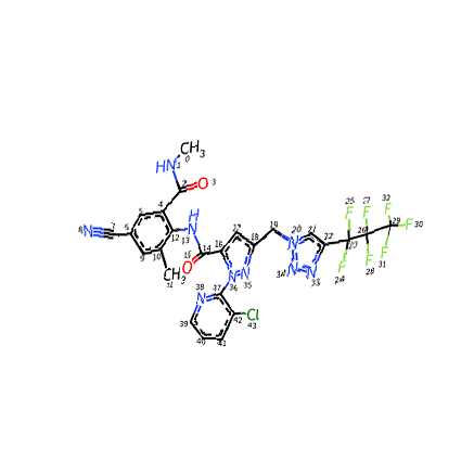 CNC(=O)c1cc(C#N)cc(C)c1NC(=O)c1cc(Cn2cc(C(F)(F)C(F)(F)C(F)(F)F)nn2)nn1-c1ncccc1Cl